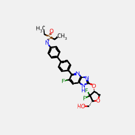 CCS(=O)(CC)=Nc1ccc(-c2ccc(-c3nc4nc(O[C@@H]5CO[C@H](CO)C5(F)F)[nH]c4cc3F)cc2)cc1